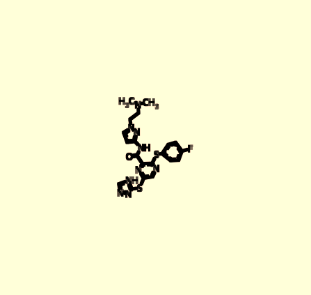 CN(C)CCn1ccc(NC(=O)c2nc(Sc3nnc[nH]3)cnc2Sc2ccc(F)cc2)n1